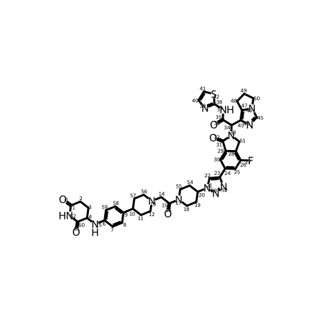 O=C1CCC(Nc2ccc(C3CCN(CC(=O)N4CCC(n5cc(-c6cc(F)c7c(c6)C(=O)N(C(C(=O)Nc6nccs6)c6ncn8c6CCC8)C7)nn5)CC4)CC3)cc2)C(=O)N1